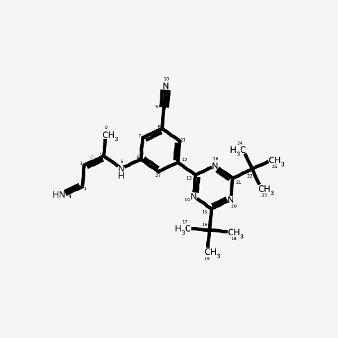 C/C(=C/C=N)Nc1cc(C#N)cc(-c2nc(C(C)(C)C)nc(C(C)(C)C)n2)c1